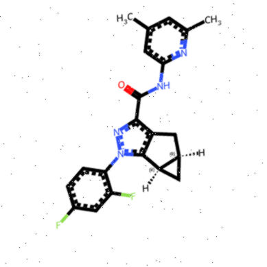 Cc1cc(C)nc(NC(=O)c2nn(-c3ccc(F)cc3F)c3c2C[C@H]2C[C@@H]32)c1